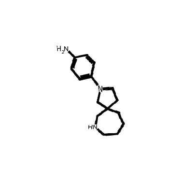 Nc1ccc(N2CCC3(CCCCNC3)C2)cc1